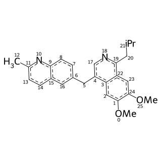 COc1cc2c(Cc3ccc4nc(C)ccc4c3)cnc(CC(C)C)c2cc1OC